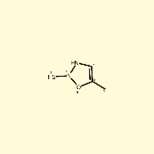 CC1=CNN(S)O1